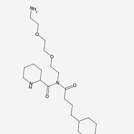 NCCOCCOCCN(C(=O)CCCC1CCCCC1)C(=O)C1CCCCN1